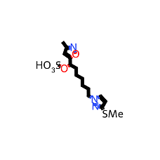 CSc1ccn(CCCCCCC(OS(=O)(=O)O)c2cc(C)no2)n1